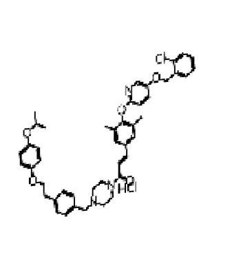 Cc1cc(C=CC(=O)N2CCN(Cc3ccc(CCOc4ccc(OC(C)C)cc4)cc3)CC2)cc(C)c1Oc1ccc(OCc2ccccc2Cl)cn1.Cl